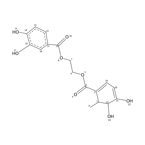 CC1C(C(=O)OCCOC(=O)c2ccc(O)c(O)c2)=CC=C(O)C1O